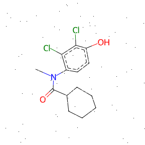 CN(C(=O)C1CCCCC1)c1ccc(O)c(Cl)c1Cl